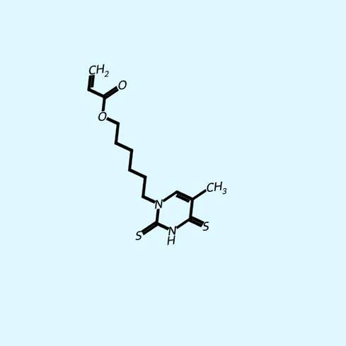 C=CC(=O)OCCCCCCn1cc(C)c(=S)[nH]c1=S